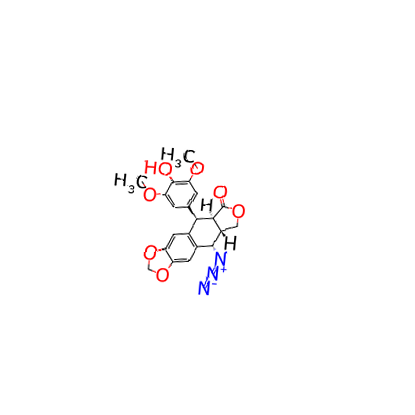 COc1cc([C@@H]2c3cc4c(cc3[C@@H](N=[N+]=[N-])[C@H]3COC(=O)[C@H]23)OCO4)cc(OC)c1O